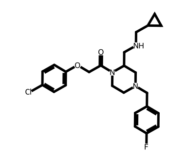 O=C(COc1ccc(Cl)cc1)N1CCN(Cc2ccc(F)cc2)CC1CNCC1CC1